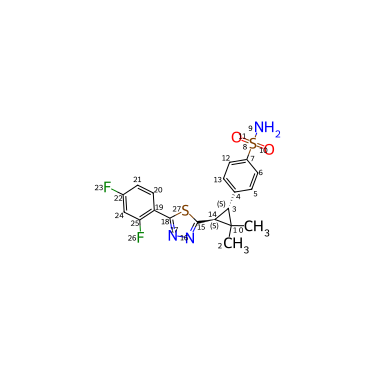 CC1(C)[C@@H](c2ccc(S(N)(=O)=O)cc2)[C@@H]1c1nnc(-c2ccc(F)cc2F)s1